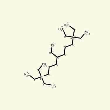 CC[N+](CC)(CC)CCCC(CO)CCC[N+](CC)(CC)CC